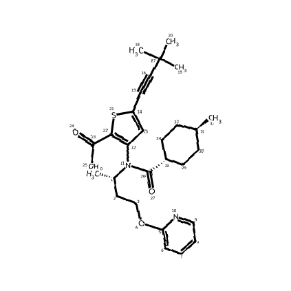 C[C@@H](CCOc1ccccn1)N(c1cc(C#CC(C)(C)C)sc1C(=O)O)C(=O)[C@H]1CC[C@H](C)CC1